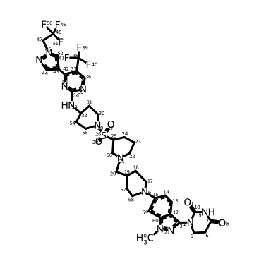 Cn1nc(N2CCC(=O)NC2=O)c2ccc(N3CCC(CN4CCCC(S(=O)(=O)N5CCC(Nc6ncc(C(F)(F)F)c(-c7cnn(CC(F)(F)F)c7)n6)CC5)C4)CC3)cc21